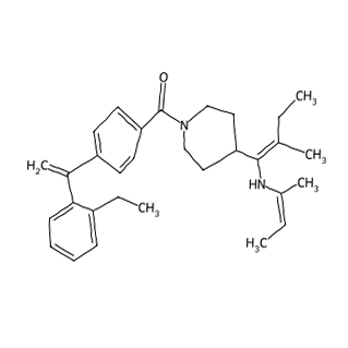 C=C(c1ccc(C(=O)N2CCC(/C(N/C(C)=C\C)=C(/C)CC)CC2)cc1)c1ccccc1CC